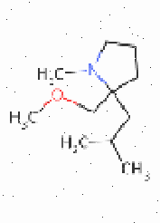 COCC1(CC(C)C)CCCN1C